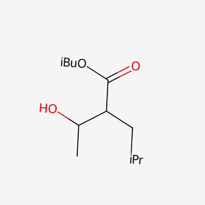 CC(C)COC(=O)C(CC(C)C)C(C)O